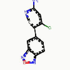 Nc1cc(Cl)c(-c2ccc3nonc3c2)cn1